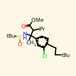 COC(=O)C(C(C)C)C(C)(N[S@@+]([O-])C(C)(C)C)c1ccc(CCC(C)(C)C)c(Cl)c1